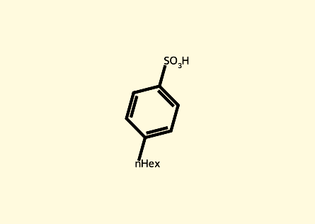 CCCCCCc1ccc(S(=O)(=O)O)cc1